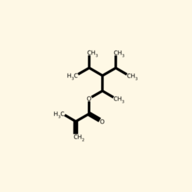 C=C(C)C(=O)OC(C)C(C(C)C)C(C)C